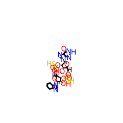 O=c1[nH]cnc2c1ncn2[C@@H]1O[C@@H]2COP(=O)(S)OC3C(O)[C@H](n4cnc5ccccc54)O[C@@H]3COP(=O)(S)OC1C2O